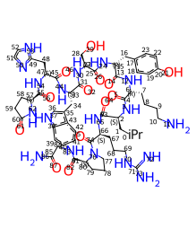 CC(C)C[C@H](NC(=O)[C@@H](CCCCN)NC(=O)[C@@H](Cc1ccc(O)cc1)NC(=O)[C@H](CO)NC(=O)[C@H](Cc1c[nH]c2ccccc12)NC(=O)[C@H](Cc1ncc[nH]1)NC(=O)[C@@H]1CCC(=O)N1)C(=O)N[C@@H](CCCNC(=N)N)C(=O)N1CCC[C@H]1C(=O)NCC(N)=O